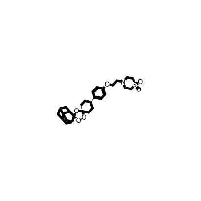 O=S1(=O)CCN(CCOc2ccc([C@H]3CC[C@]4(CC3)OO[C@]3(O4)C4CC5CC(C4)CC3C5)cc2)CC1